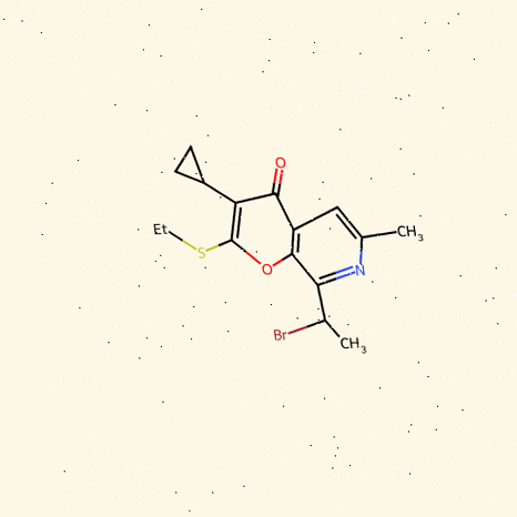 CCSc1oc2c(C(C)Br)nc(C)cc2c(=O)c1C1CC1